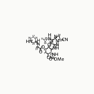 COC(=O)Nc1c(C#N)cc(OC(=O)[C@H](C)N[C@@H]2CCCNC2)c(Cl)c1Nc1nc(NC2CC2)c2ncc(C#N)n2n1